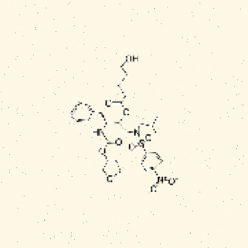 CC(C)CN(C[C@@H](OC(=O)CCCCO)[C@H](Cc1ccccc1)NC(=O)O[C@H]1CCOC1)S(=O)(=O)c1ccc([N+](=O)[O-])cc1